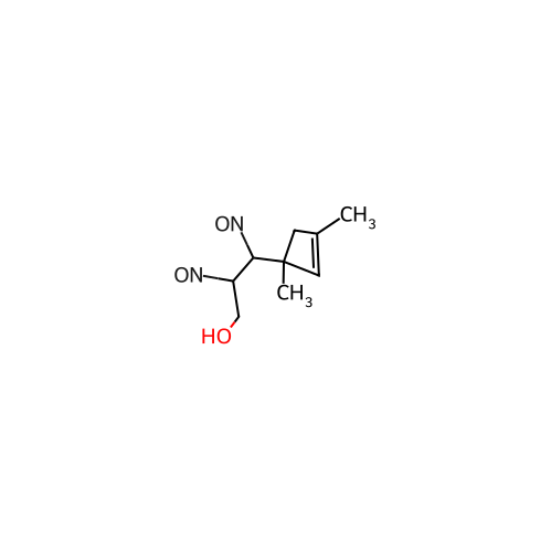 CC1=CC(C)(C(N=O)C(CO)N=O)C1